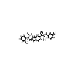 CN(C)C(Cn1cc2ccc(C(=O)NCc3cccc(Cl)c3)cc2n1)c1ccccc1Cl